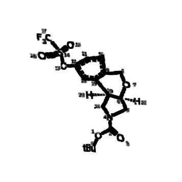 CC(C)(C)OC(=O)N1C[C@@H]2OCc3ccc(OS(=O)(=O)C(F)(F)F)cc3[C@@H]2C1